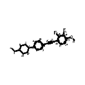 CCC1CCC(c2ccc(C#Cc3ccc(OC)c(F)c3F)cc2)CC1